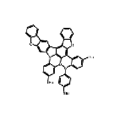 CC(C)(C)c1ccc(N2B3c4cc(C(C)(C)C)ccc4-n4c5cc6oc7ccccc7c6cc5c5c6c(oc7ccccc76)c(c3c54)-c3cc(C(C)(C)C)ccc32)cc1